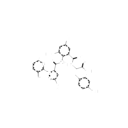 Cc1cc(Cl)cc(C(=O)N[C@@H](Cc2ccc(O)cc2)C(=O)O)c1NC(=O)c1cc(Br)nn1-c1ncccc1Cl